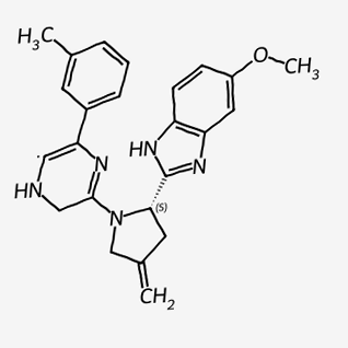 C=C1C[C@@H](c2nc3cc(OC)ccc3[nH]2)N(C2=NC(c3cccc(C)c3)=[C]NC2)C1